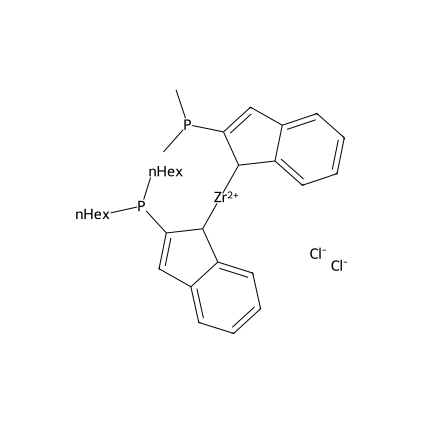 CCCCCCP(CCCCCC)C1=Cc2ccccc2[CH]1[Zr+2][CH]1C(P(C)C)=Cc2ccccc21.[Cl-].[Cl-]